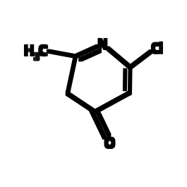 CC1=NC(Cl)=CC(=O)C1